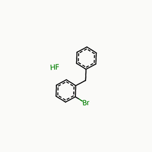 Brc1ccccc1Cc1ccccc1.F